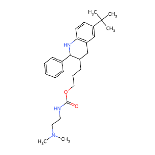 CN(C)CCNC(=O)OCCCC1Cc2cc(C(C)(C)C)ccc2NC1c1ccccc1